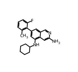 Cc1cccc(F)c1-c1cc(NC2CCCCC2)c2cc(N)ncc2c1